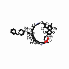 CO[C@H]1/C=C/O[C@@]2(C)Oc3c(C)c(O)c4c(c3C2=O)C(=O)C(N2CCOCC2)=C(NC(=O)/C(C)=C\C=C\[C@H](C)[C@H](O)[C@@H](C)[C@@H](O)[C@@H](C)[C@H](OC(=O)NC2CCN(Cc3ccccc3)CC2)[C@@H]1C)C4=O